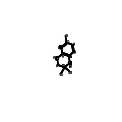 Cc1ccc2c(n1)OCC(C)(C)O2